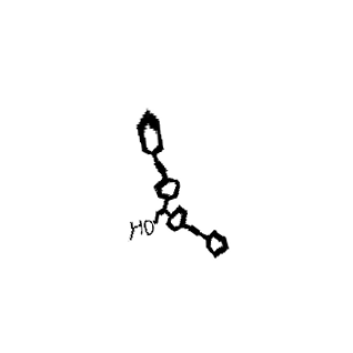 OCC=C(c1ccc(C#Cc2ccccc2)cc1)c1ccc(C#Cc2ccccc2)cc1